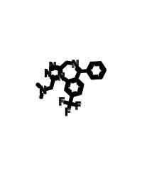 CN(C)Cc1nnc2n1-c1cc(C(F)(F)F)ccc1C(c1ccccc1)=NC2